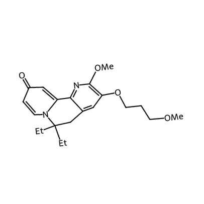 CCC1(CC)Cc2cc(OCCCOC)c(OC)nc2-c2cc(=O)ccn21